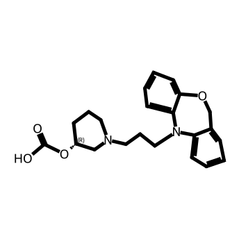 O=C(O)O[C@@H]1CCCN(CCCN2c3ccccc3COc3ccccc32)C1